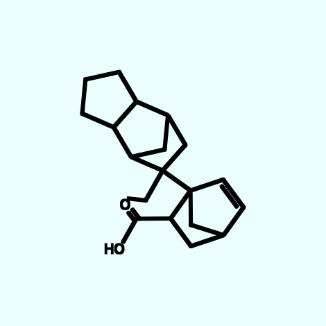 CCC1(C23C=CC(CC2C(=O)O)C3)CC2CC1C1CCCC21